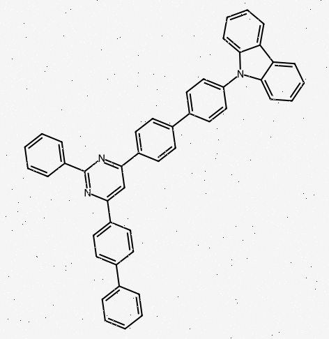 c1ccc(-c2ccc(-c3cc(-c4ccc(-c5ccc(-n6c7ccccc7c7ccccc76)cc5)cc4)nc(-c4ccccc4)n3)cc2)cc1